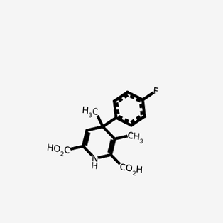 CC1=C(C(=O)O)NC(C(=O)O)=CC1(C)c1ccc(F)cc1